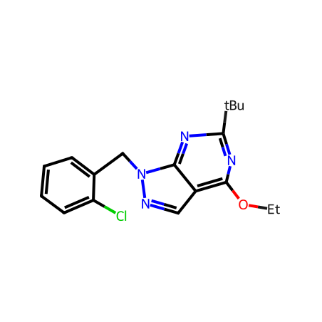 CCOc1nc(C(C)(C)C)nc2c1cnn2Cc1ccccc1Cl